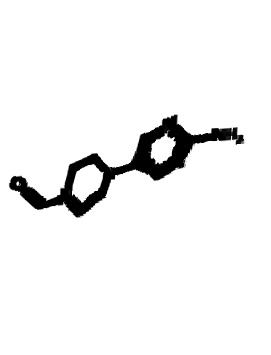 Nc1ccc(N2CCN(C=O)CC2)cn1